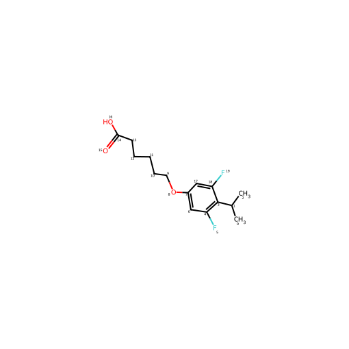 CC(C)c1c(F)cc(OCCCCCC(=O)O)cc1F